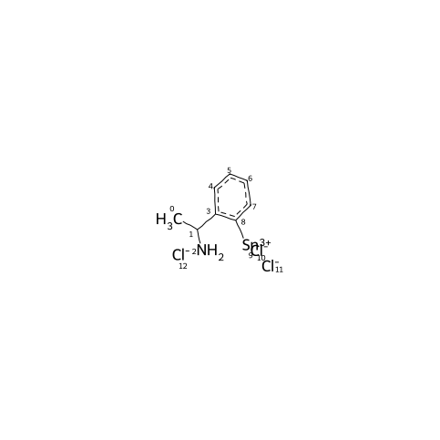 CC(N)c1cccc[c]1[Sn+3].[Cl-].[Cl-].[Cl-]